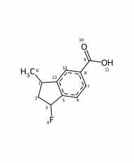 CC1CC(F)c2ccc(C(=O)O)cc21